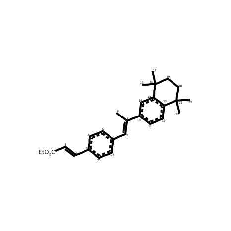 CCOC(=O)C=Cc1ccc(C=C(C)c2ccc3c(c2)C(C)(C)CCC3(C)C)cc1